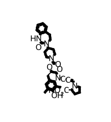 Cc1cc(C[C@@H](OC(=O)N2CCC(N3CCc4ccccc4NC3=O)CC2)C(=O)N=C=C=CN2CCC[C@H]2C(=O)O)cc(C)c1O